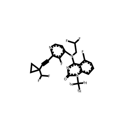 [2H]C([2H])([2H])n1c(=O)nc(N(CC(F)F)c2ccnc(C#CC3(C(F)F)CC3)c2F)c2c(F)cccc21